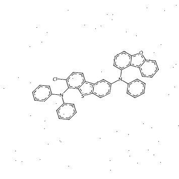 Clc1ccc2c(sc3ccc(N(c4ccccc4)c4cccc5oc6ccccc6c45)cc32)c1N(c1ccccc1)c1ccccc1